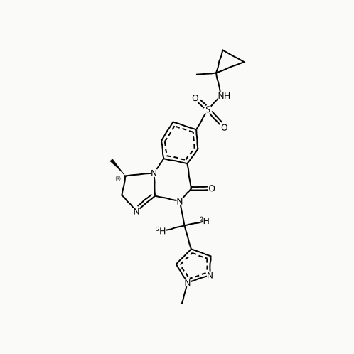 [2H]C([2H])(c1cnn(C)c1)N1C(=O)c2cc(S(=O)(=O)NC3(C)CC3)ccc2N2C1=NC[C@H]2C